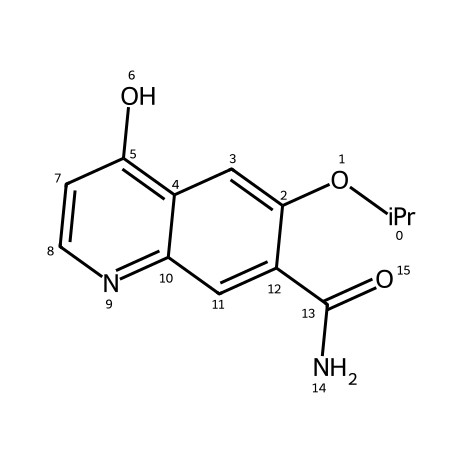 CC(C)Oc1cc2c(O)ccnc2cc1C(N)=O